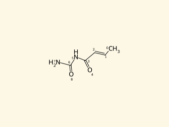 CC=CC(=O)NC(N)=O